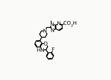 Cn1c(CN2CCC(c3cccc4c3OCC(c3ccccc3F)N4)CC2)nc2ccc(C(=O)O)nc21